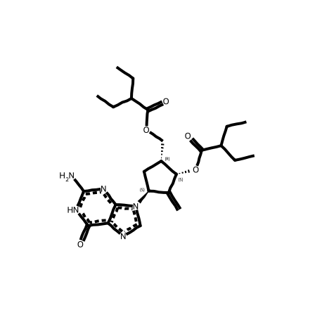 C=C1[C@@H](OC(=O)C(CC)CC)[C@@H](COC(=O)C(CC)CC)C[C@@H]1n1cnc2c(=O)[nH]c(N)nc21